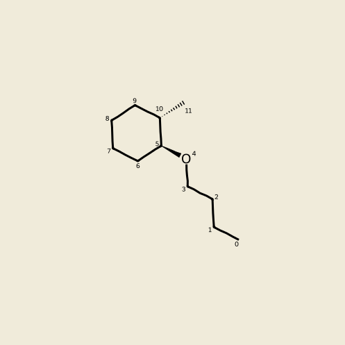 CCCCO[C@H]1CCCC[C@@H]1C